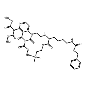 CC(C)(C)OC(=O)N(C(=O)OC(C)(C)C)c1ncnc2c1c(=O)n(C(=O)OC(C)(C)C)c(=O)n2CCNC(CCCCNC(=O)OCc1ccccc1)C(=O)OCC[Si](C)(C)C